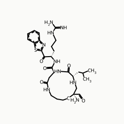 CC(C)C[C@@H]1NC[C@@](N)(C=O)CCCCNC(=O)C[C@@H](C(=O)N[C@@H](CCCNC(=N)N)C(=O)c2nc3ccccc3s2)NC1=O